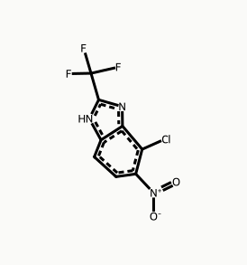 O=[N+]([O-])c1ccc2[nH]c(C(F)(F)F)nc2c1Cl